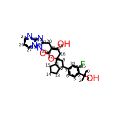 CC(C)(O)c1ccc(CCC2(C3CCCC3)CC(O)=C(Cc3nc4ncccn4n3)C(=O)O2)cc1F